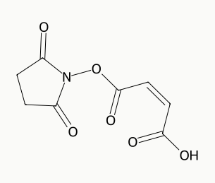 O=C(O)/C=C\C(=O)ON1C(=O)CCC1=O